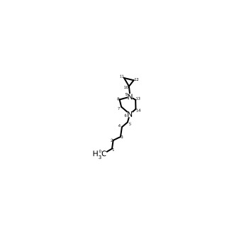 CCCCCCN1CCN(C2CC2)CC1